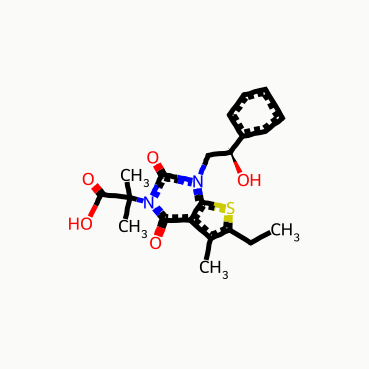 CCc1sc2c(c1C)c(=O)n(C(C)(C)C(=O)O)c(=O)n2C[C@H](O)c1ccccc1